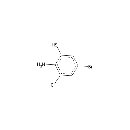 Nc1c(S)cc(Br)cc1Cl